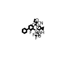 N#CC1(C(=O)N2CC3(CC3)[C@H](NS(=O)(=O)C(F)F)[C@@H]2Cc2cccc(-c3ccccc3)c2F)CCO1